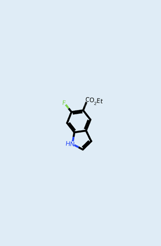 CCOC(=O)c1cc2cc[nH]c2cc1F